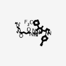 C#Cc1ccc(-n2nccc2-c2cn3nc(NC(=O)CCC(=O)N(C)CCN(C)C)nc3c(-c3cccc(C(F)(F)F)c3)c2C)cc1